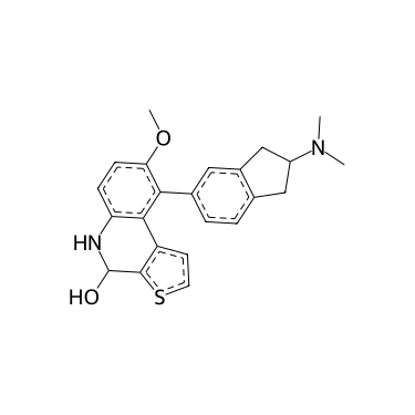 COc1ccc2c(c1-c1ccc3c(c1)CC(N(C)C)C3)-c1ccsc1C(O)N2